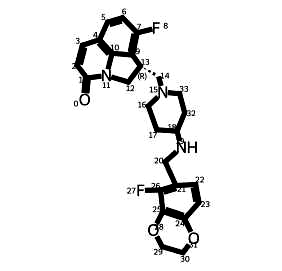 O=c1ccc2ccc(F)c3c2n1C[C@H]3CN1CCC(NCc2ccc3c(c2F)OCCO3)CC1